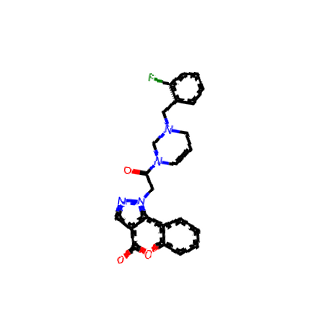 O=C(Cn1ncc2c(=O)oc3ccccc3c21)N1C=CCN(Cc2ccccc2F)C1